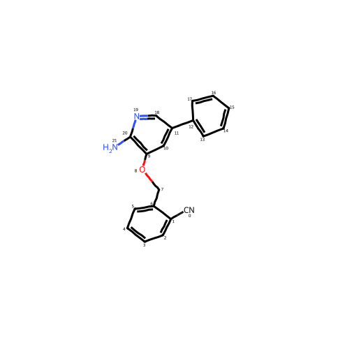 N#Cc1ccccc1COc1cc(-c2ccccc2)cnc1N